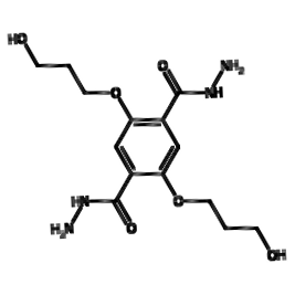 NNC(=O)c1cc(OCCCO)c(C(=O)NN)cc1OCCCO